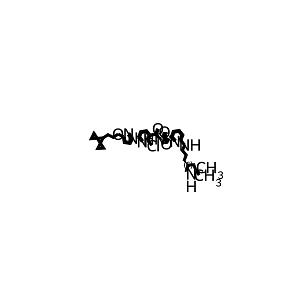 CC1(C)C[C@H](CCCNc2cccc(S(=O)(=O)NC(=O)c3ccc(-n4ccc(OCCC5C6(CC6)C56CC6)n4)nc3Cl)n2)CN1